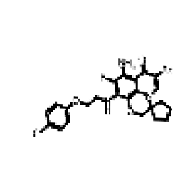 CC(=O)c1cn2c3c(c(NCCOc4ccc(Cl)cc4)c(F)c(N)c3c1=O)OCC21CCCC1